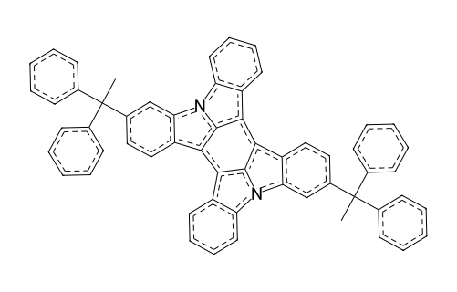 CC(c1ccccc1)(c1ccccc1)c1ccc2c3c4c5ccccc5n5c6cc(C(C)(c7ccccc7)c7ccccc7)ccc6c(c6c7ccccc7n(c2c1)c63)c45